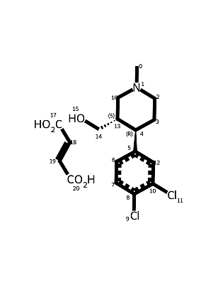 CN1CC[C@@H](c2ccc(Cl)c(Cl)c2)[C@H](CO)C1.O=C(O)C=CC(=O)O